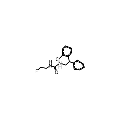 O=C(NCCF)NCC(c1ccccc1)c1ccccc1Cl